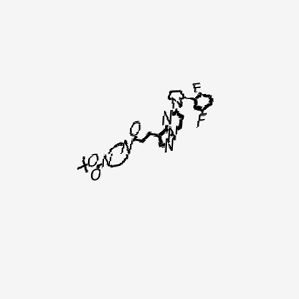 CC(C)(C)OC(=O)N1CCCN(C(=O)C=Cc2cnn3ccc(N4CCCC4c4cc(F)ccc4F)nc23)CC1